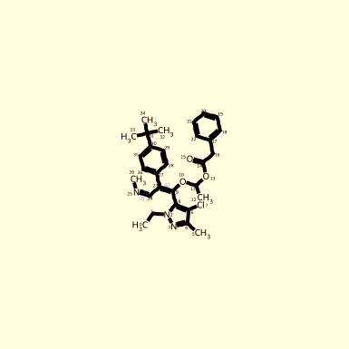 CCn1nc(C)c(Cl)c1/C(OC(C)OC(=O)Cc1ccccc1)=C(\C=N/C)c1ccc(C(C)(C)C)cc1